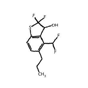 CCCc1ccc2c(c1C(F)F)C(O)C(F)(F)S2